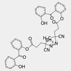 CC(C#N)(CCC(=O)Oc1ccccc1C(=O)c1ccccc1O)/N=N\C(C)(C#N)CCC(=O)Oc1ccccc1C(=O)c1ccccc1O